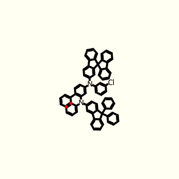 Clc1cccc(N(c2ccc(-c3ccccc3)c(N(c3ccccc3)c3ccc4c(c3)-c3ccccc3C4(c3ccccc3)c3ccccc3)c2)c2ccc3c(c2)C2(c4ccccc4-c4ccccc42)c2ccccc2-3)c1